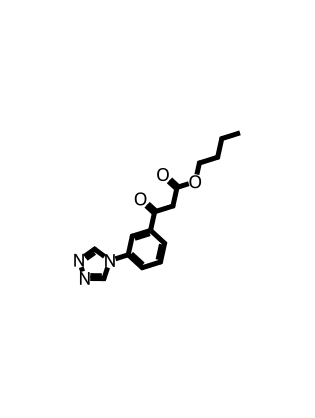 CCCCOC(=O)CC(=O)c1cccc(-n2cnnc2)c1